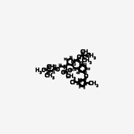 Cc1ccc(Cl)nc1Oc1cccc(C[C@H]2[C@@H](N(COCC[Si](C)(C)C)S(C)(=O)=O)CCN2C(=O)OC(C)(C)C)c1